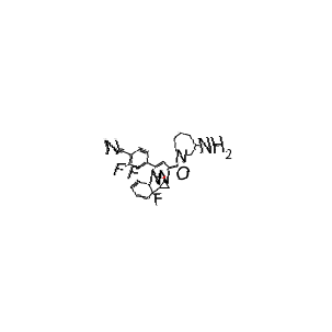 N#Cc1ccc(-c2cc(C(=O)N3CCCCC(N)C3)nn2[C@@H]2C(F)=CC=CC2(F)C2CC2)cc1F